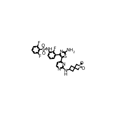 Nc1nc(-c2cccc(NS(=O)(=O)c3c(F)cccc3F)c2F)c(-c2ccnc(NC3CC4(C3)CS(=O)(=O)C4)n2)s1